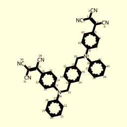 N#CC(C#N)=C(C#N)c1ccc(N(Cc2ccc(CN(c3ccccc3)c3ccc(C(C#N)=C(C#N)C#N)cc3)cc2)c2ccccc2)cc1